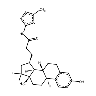 Cc1cnc(NC(=O)CC[C@@H]2CC(F)(F)[C@@]3(C)CC[C@@H]4c5ccc(O)cc5CC[C@H]4[C@H]23)s1